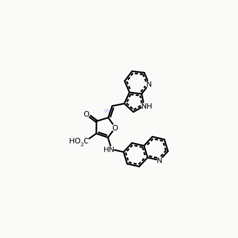 O=C(O)C1=C(Nc2ccc3ncccc3c2)O/C(=C\c2c[nH]c3ncccc23)C1=O